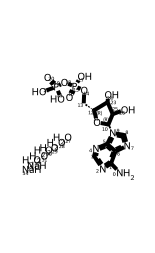 Nc1ncnc2c1ncn2[C@@H]1O[C@H](COP(=O)(O)OP(=O)(O)O)C(O)C1O.O.O.O.O.O.O.[NaH].[NaH]